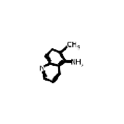 CC1CC=c2ncccc2=C1N